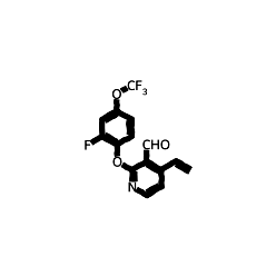 C=Cc1ccnc(Oc2ccc(OC(F)(F)F)cc2F)c1C=O